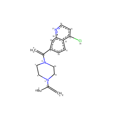 C=C(CCCC)N1CCN(C(=C)c2ccc3c(Cl)ccnc3c2)CC1